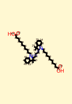 CC1(C)C(/C=C/C=C2/N(CCCCCCCCCCC(=O)O)c3ccccc3C2(C)C)=[N+](CCCCCCCCCCC(=O)O)c2ccccc21